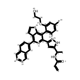 C=CC(=O)NC(C)c1cc(-c2nc(-c3ccc4cnncc4c3)c3ccsc3c2-c2c(F)cc(F)cc2OCCO)n[nH]1